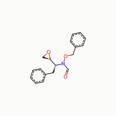 O=CN(OCc1ccccc1)[C@@H](Cc1ccccc1)[C@H]1CO1